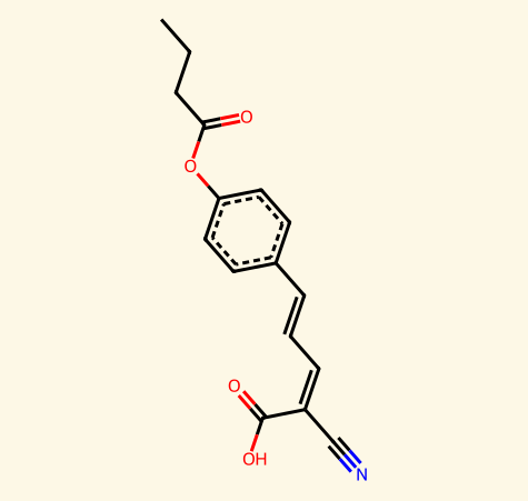 CCCC(=O)Oc1ccc(C=CC=C(C#N)C(=O)O)cc1